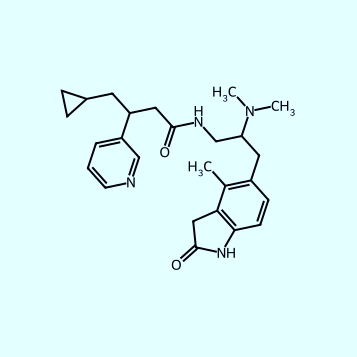 Cc1c(CC(CNC(=O)CC(CC2CC2)c2cccnc2)N(C)C)ccc2c1CC(=O)N2